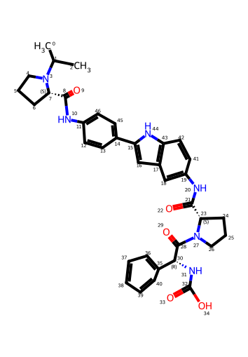 CC(C)N1CCC[C@H]1C(=O)Nc1ccc(-c2cc3cc(NC(=O)[C@@H]4CCCN4C(=O)[C@H](NC(=O)O)c4ccccc4)ccc3[nH]2)cc1